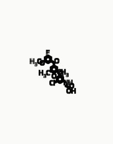 COc1cc(F)cc(C(=O)c2cc(C)c(Oc3c(Cl)cc(NCC(=O)O)cc3Cl)c(C)c2)c1